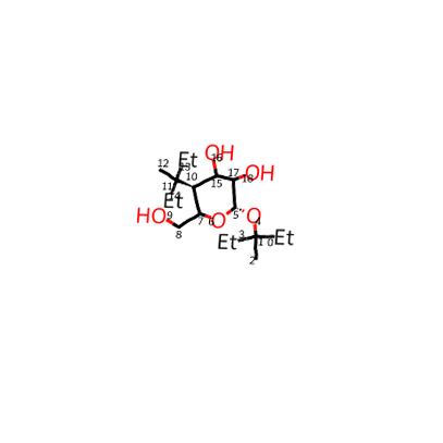 CCC(C)(CC)O[C@@H]1OC(CO)[C@@H](C(C)(CC)CC)C(O)C1O